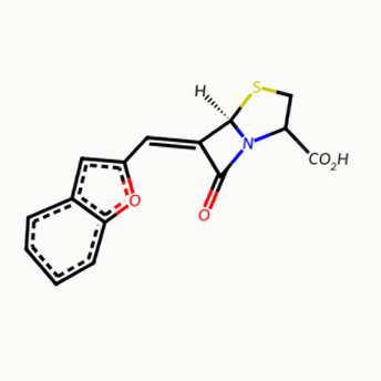 O=C(O)C1CS[C@@H]2C(=Cc3cc4ccccc4o3)C(=O)N12